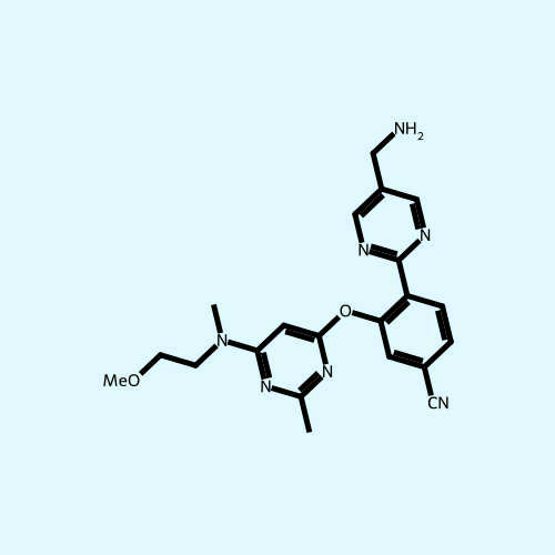 COCCN(C)c1cc(Oc2cc(C#N)ccc2-c2ncc(CN)cn2)nc(C)n1